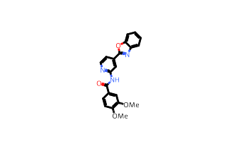 COc1ccc(C(=O)Nc2cc(-c3nc4ccccc4o3)ccn2)cc1OC